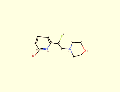 FC(CN1CCOCC1)c1cccc(Br)n1